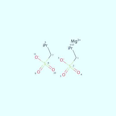 CC(C)CS(=O)(=O)[O-].CC(C)CS(=O)(=O)[O-].[Mg+2]